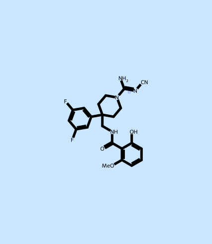 COc1cccc(O)c1C(=O)NCC1(c2cc(F)cc(F)c2)CCN(/C(N)=N/C#N)CC1